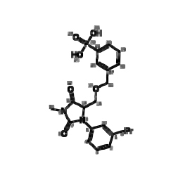 CC(C)c1cccc(N2C(=O)N(C)C(=O)C2COCc2cccc(P(=O)(O)O)c2)c1